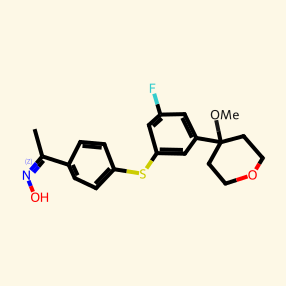 COC1(c2cc(F)cc(Sc3ccc(/C(C)=N\O)cc3)c2)CCOCC1